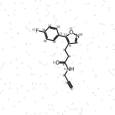 C#CCNC(=O)CCc1cnoc1-c1ccc(F)cc1